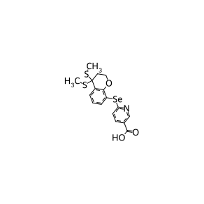 CSC1(SC)CCOc2c([Se]c3ccc(C(=O)O)cn3)cccc21